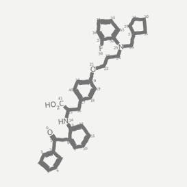 O=C(c1ccccc1)c1ccccc1NC(Cc1ccc(OCCCN(CC2CCCC2)c2ccccc2F)cc1)C(=O)O